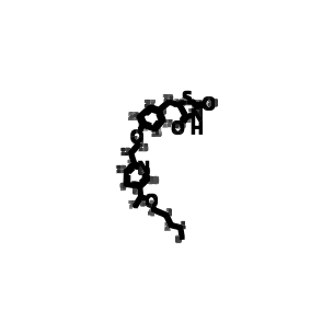 CCCCCOC(C)c1ccc(CCOc2ccc(CC3SC(=O)NC3=O)cc2)nc1